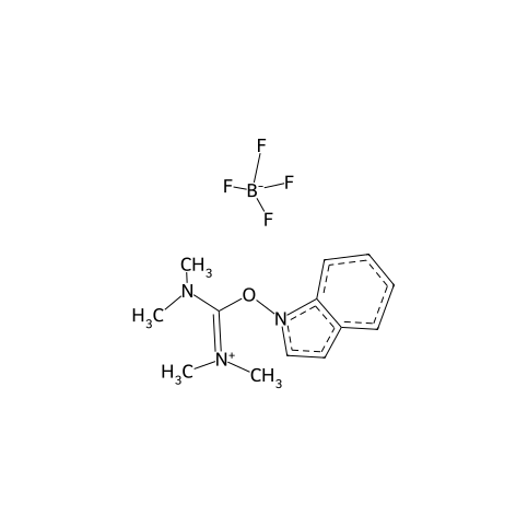 CN(C)C(On1ccc2ccccc21)=[N+](C)C.F[B-](F)(F)F